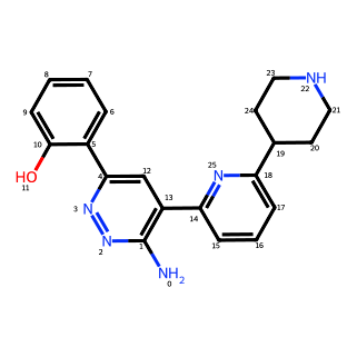 Nc1nnc(-c2ccccc2O)cc1-c1cccc(C2CCNCC2)n1